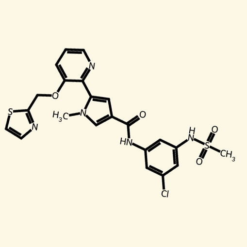 Cn1cc(C(=O)Nc2cc(Cl)cc(NS(C)(=O)=O)c2)cc1-c1ncccc1OCc1nccs1